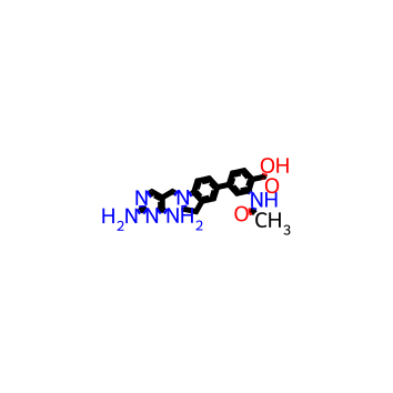 CC(=O)Nc1cc(-c2ccc3c(c2)CCN3Cc2cnc(N)nc2N)ccc1C(=O)O